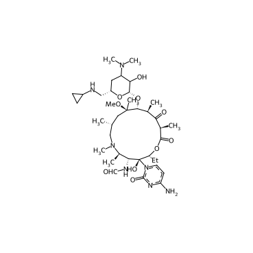 CC[C@H]1OC(=O)[C@H](C)C(=O)[C@H](C)[C@@H](O[C@@H]2O[C@H](CNC3CC3)CC(N(C)C)C2O)[C@](C)(OC)C[C@@H](C)CN(C)[C@H](C)[C@@H](NC=O)[C@@]1(O)n1ccc(N)nc1=O